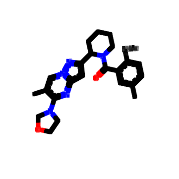 CC(=O)Nc1ccc(C)cc1C(=O)N1CCCCC1c1cc2nc(N3CCOC3)c(C)cn2n1